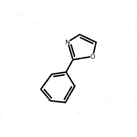 [c]1ccc(-c2ncco2)cc1